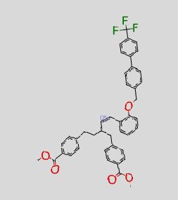 COC(=O)c1ccc(CCC(/C=C\c2ccccc2OCc2ccc(-c3ccc(C(F)(F)F)cc3)cc2)Cc2ccc(C(=O)OC)cc2)cc1